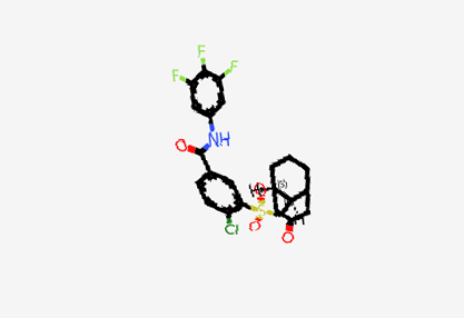 O=C1CC2CCC[C@@H](C1)[C@@H]2CS(=O)(=O)c1cc(C(=O)Nc2cc(F)c(F)c(F)c2)ccc1Cl